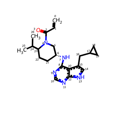 C=CC(=O)N1C[C@H](Nc2ncnc3[nH]cc(CC4CC4)c23)CCC1C(C)C